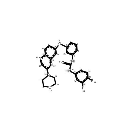 O=C(Nc1cccc(Oc2ccc3ncc(N4CCOCC4)nc3c2)c1)Nc1ccc(F)c(F)c1